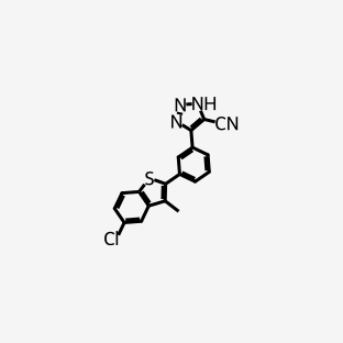 Cc1c(-c2cccc(-c3nn[nH]c3C#N)c2)sc2ccc(Cl)cc12